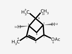 CC(=O)OC1C=C(C)[C@@H]2C[C@H]1C2(C)C